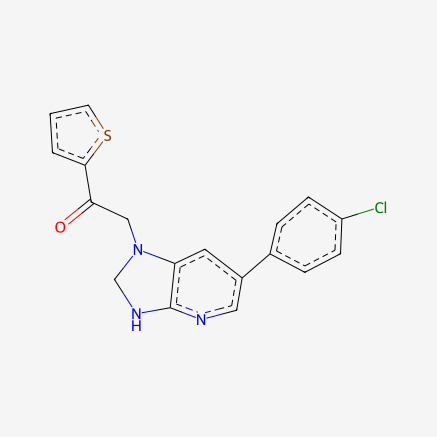 O=C(CN1CNc2ncc(-c3ccc(Cl)cc3)cc21)c1cccs1